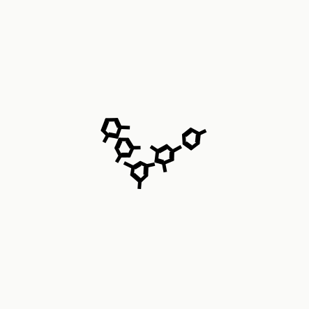 Cc1cc(C)cc(C)c1.Cc1cc(C)cc(C)c1.Cc1cccc(C)c1.Cc1cccc(C)c1.Cc1ccccc1